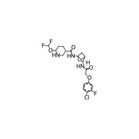 O=C(COc1ccc(Cl)c(F)c1)N[C@H]1CC2(NC(=O)C3CCC(OC(F)F)NC3)CC1C2